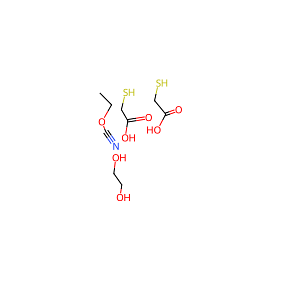 CCOC#N.O=C(O)CS.O=C(O)CS.OCCO